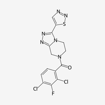 O=C(c1ccc(Cl)c(F)c1Cl)N1CCn2c(nnc2-c2cnns2)C1